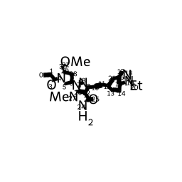 C=CC(=O)N1C[C@@H](n2nc(C#Cc3ccc4c(cnn4CC)c3)c(C(N)=O)c2NC)C[C@@H]1COC